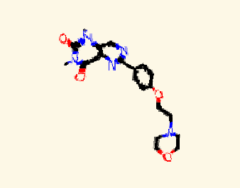 Cn1c(=O)c2nc(-c3ccc(OCCN4CCOCC4)cc3)ncc2n(C)c1=O